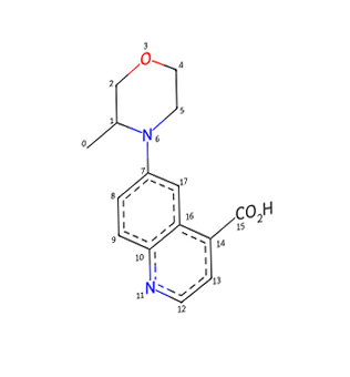 CC1COCCN1c1ccc2nccc(C(=O)O)c2c1